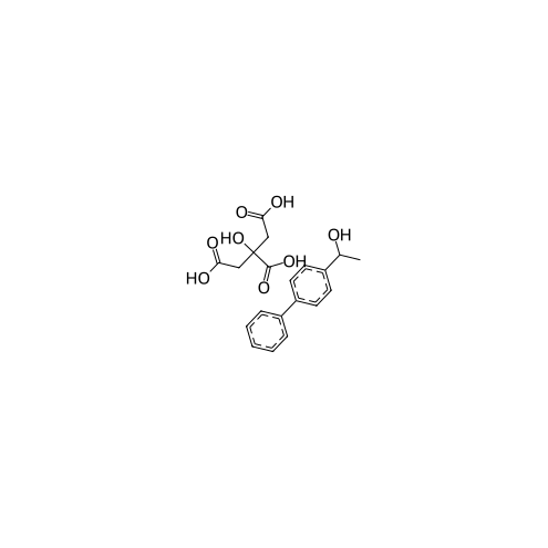 CC(O)c1ccc(-c2ccccc2)cc1.O=C(O)CC(O)(CC(=O)O)C(=O)O